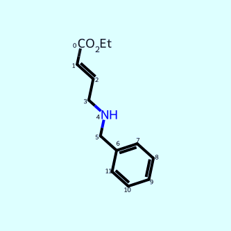 CCOC(=O)/C=C/CNCc1ccccc1